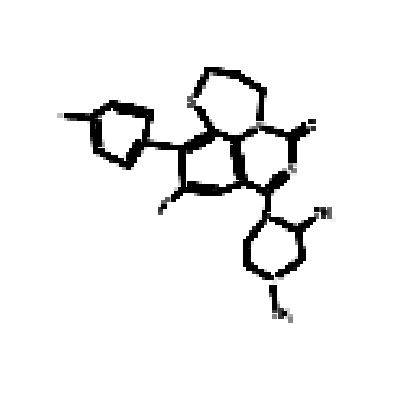 Cc1cc2c(N3CCN(C)CC3C)nc(=O)n3c2c(c1-c1ccc(F)cc1)SCCC3